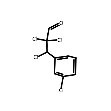 O=CC(Cl)(Cl)C(Cl)c1cccc(Cl)c1